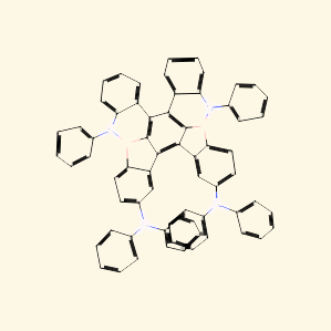 c1ccc(N2B3c4ccc(N(c5ccccc5)c5ccccc5)cc4-c4c3c(c3c5c4-c4cc(N(c6ccccc6)c6ccccc6)ccc4B5N(c4ccccc4)c4ccccc4-3)-c3ccccc32)cc1